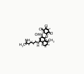 COc1cc(NCCCCC(C)N)c2nccc(C)c2c1Oc1cc(Cl)c(Cl)cc1Cl